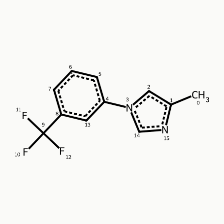 Cc1cn(-c2c[c]cc(C(F)(F)F)c2)cn1